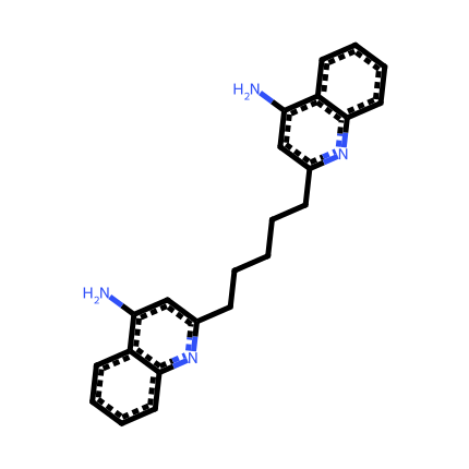 Nc1cc(CCCCCc2cc(N)c3ccccc3n2)nc2ccccc12